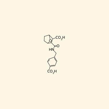 O=C(O)c1ccc(CNC(=O)C2C3CCC(O3)C2C(=O)O)cc1